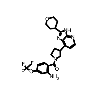 Nc1cc(OC(F)(F)F)ccc1C(=O)N1CCC(c2ccnc3[nH]c(C4CCOCC4)nc23)C1